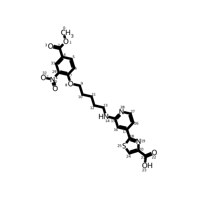 COC(=O)c1ccc(OCCCCCNc2cc(-c3nc(C(=O)O)cs3)ccn2)c([N+](=O)[O-])c1